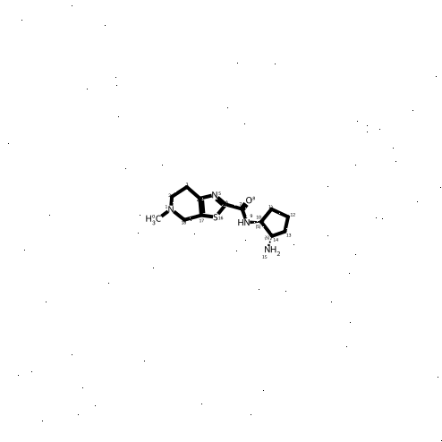 CN1CCc2nc(C(=O)N[C@H]3CCC[C@@H]3N)sc2C1